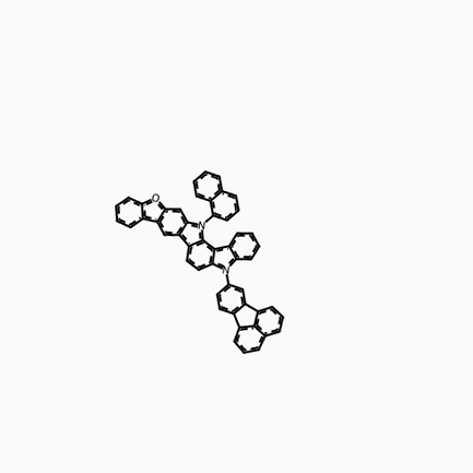 c1ccc2c(-n3c4cc5oc6ccccc6c5cc4c4ccc5c(c6ccccc6n5-c5ccc6c(c5)-c5cccc7cccc-6c57)c43)cccc2c1